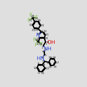 O[C@H](CNCCNC(c1ccccc1)c1ccccc1)c1ccc(-c2ccc(C(F)(F)F)cc2)nc1C(F)(F)F